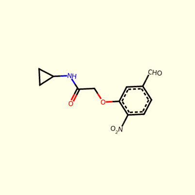 O=Cc1ccc([N+](=O)[O-])c(OCC(=O)NC2CC2)c1